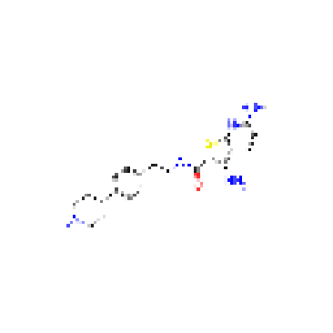 CNc1ccc2c(N)c(C(=O)NCCc3ccc(C4CCN(C)CC4)cc3)sc2n1